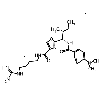 CC[C@H](C)[C@H](NC(=O)c1ccc(N(C)C)cc1)c1nc(C(=O)NCCCCNC(=N)N)co1